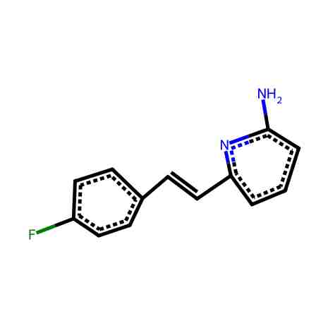 Nc1cccc(C=Cc2ccc(F)cc2)n1